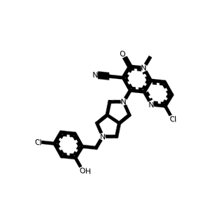 Cn1c(=O)c(C#N)c(N2CC3CN(Cc4ccc(Cl)cc4O)CC3C2)c2nc(Cl)ccc21